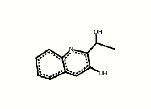 CC(O)c1nc2ccccc2cc1O